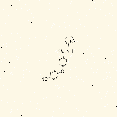 N#Cc1ccc(Oc2ccc(C(=O)NC3CC4CCN(CC4)C3)cc2)cc1